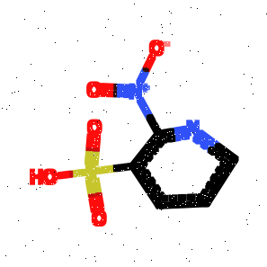 O=[N+]([O-])c1ncccc1S(=O)(=O)O